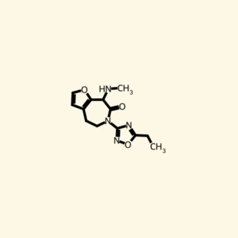 CCc1nc(N2CCc3ccoc3C(NC)C2=O)no1